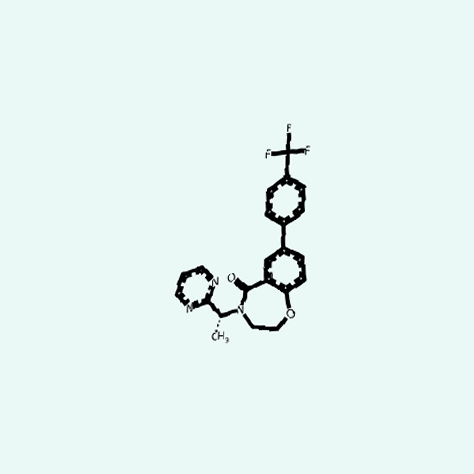 C[C@H](c1ncccn1)N1CCOc2ccc(-c3ccc(C(F)(F)F)cc3)cc2C1=O